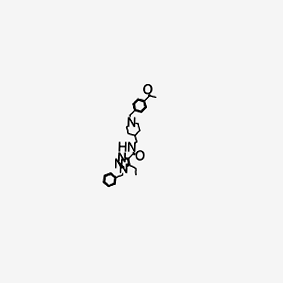 CCc1c(C(=O)NCC2CCN(Cc3ccc(C(C)=O)cc3)CC2)nnn1Cc1ccccc1